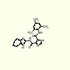 Cc1cc(C)c(NC(=O)c2[nH]cnc2C(=O)Nc2nc3ccccc3[nH]2)c(C)c1